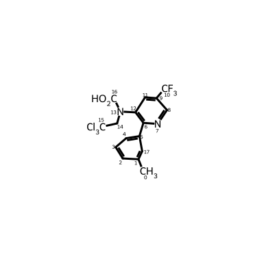 Cc1cccc(-c2ncc(C(F)(F)F)cc2N(CC(Cl)(Cl)Cl)C(=O)O)c1